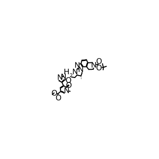 COC(=O)c1cc(-c2cnn(C)c2OCCC[C@@H](C)Cn2c(N)nc3ccc4c(c32)CCN(C(=O)OC(C)(C)C)C4)c(=O)n(C)c1